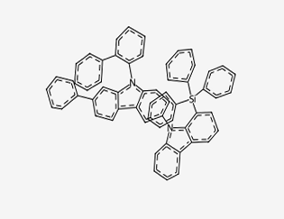 c1ccc(-c2ccc3c4cc(-n5c6ccccc6c6cccc([Si](c7ccccc7)(c7ccccc7)c7ccccc7)c65)ccc4n(-c4ccccc4-c4ccccc4)c3c2)cc1